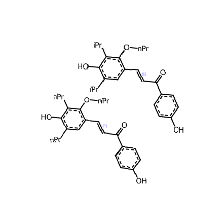 CCCOc1c(/C=C/C(=O)c2ccc(O)cc2)cc(C(C)C)c(O)c1C(C)C.CCCOc1c(/C=C/C(=O)c2ccc(O)cc2)cc(CCC)c(O)c1CCC